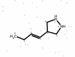 [CH2]CC=CC1CNNC1